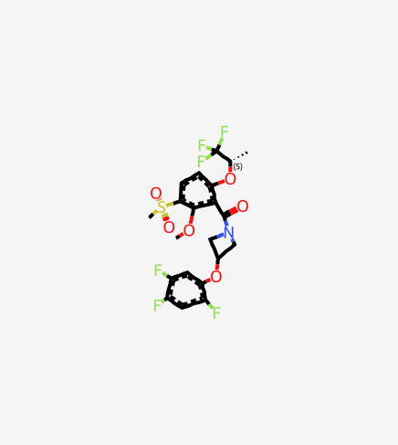 COc1c(S(C)(=O)=O)ccc(O[C@@H](C)C(F)(F)F)c1C(=O)N1CC(Oc2cc(F)c(F)cc2F)C1